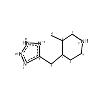 CC1CNCCC1Cc1nn[nH]n1